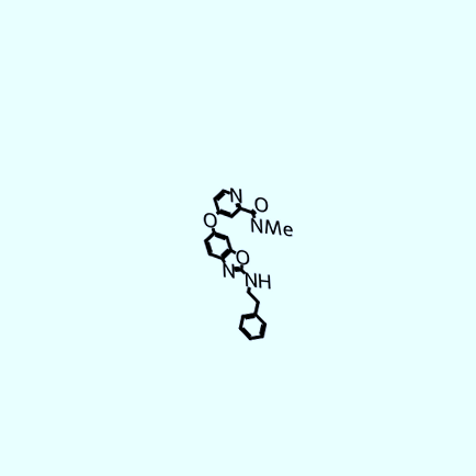 CNC(=O)c1cc(Oc2ccc3nc(NCCc4ccccc4)oc3c2)ccn1